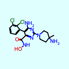 CC1(N)CCN(c2nc(N)c(-c3cccc(Cl)c3Cl)c(C(=O)NO)n2)CC1